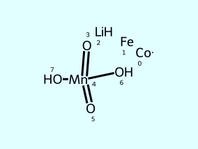 [Co].[Fe].[LiH].[O]=[Mn](=[O])([OH])[OH]